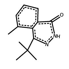 Cc1cccc2c(=O)[nH]nc(C(C)(C)C)c12